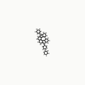 c1ccc(-c2ccc(-n3c4cccc5c4c4c6c(ccc7c6c6c-5cccc6n7-c5ccccc5)ccc43)cc2)cc1